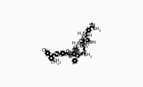 Cc1ncsc1-c1ccc([C@H](C)NC(=O)[C@@H]2C[C@@H](O)CN2C(=O)[C@@H](NC(=O)CCCN(C)CC[C@H](CSc2ccccc2)Nc2ccc(S(=O)(=O)NC(=O)c3ccc(N4CCN(CC5=C(c6ccc(Cl)cc6)CCC(C)(C)C5)CC4)cc3)cc2S(=O)(=O)C(F)(F)F)C(C)(C)C)cc1